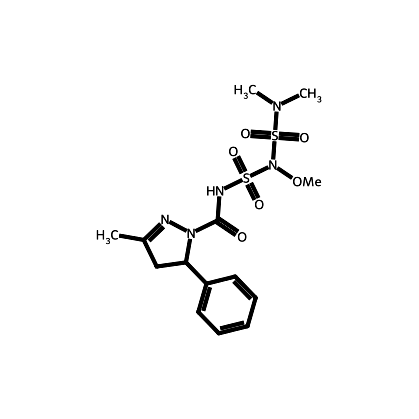 CON(S(=O)(=O)NC(=O)N1N=C(C)CC1c1ccccc1)S(=O)(=O)N(C)C